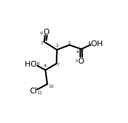 O=CC(CC(=O)O)CC(O)CCl